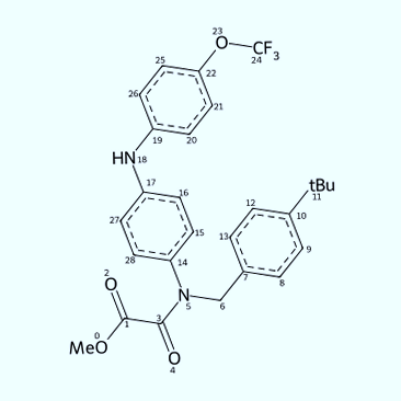 COC(=O)C(=O)N(Cc1ccc(C(C)(C)C)cc1)c1ccc(Nc2ccc(OC(F)(F)F)cc2)cc1